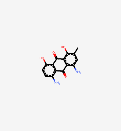 Cc1cc(N)c2c(c1O)C(=O)c1c(O)ccc(N)c1C2=O